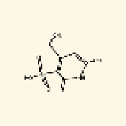 CCc1cc(O)[nH]c(=O)c1S(=O)(=O)O